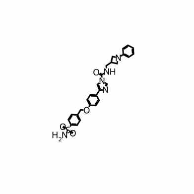 NS(=O)(=O)c1ccc(COc2ccc(-c3cn(C(=O)NCC4CN(c5ccccc5)C4)cn3)cc2)cc1